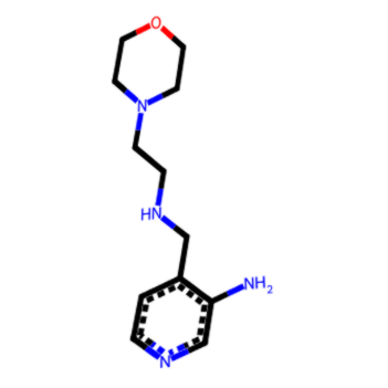 Nc1cnccc1CNCCN1CCOCC1